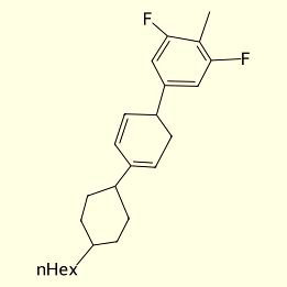 CCCCCCC1CCC(C2=CCC(c3cc(F)c(C)c(F)c3)C=C2)CC1